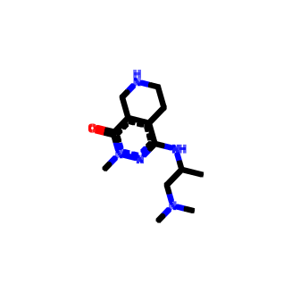 CC(CN(C)C)Nc1nn(C)c(=O)c2c1CCNC2